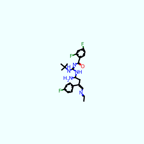 CC=N/C=C(/CC(N)N/C(=N\C(=O)c1ccc(F)cc1F)NC(C)(C)C)c1ccc(F)cc1